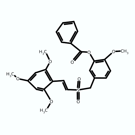 COc1cc(OC)c(/C=C/S(=O)(=O)Cc2ccc(OC)c(OC(=O)c3ccccc3)c2)c(OC)c1